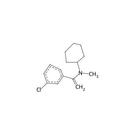 C=C(c1cccc(Cl)c1)N(C)C1CCCCC1